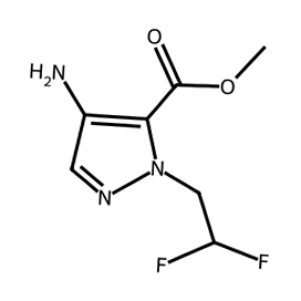 COC(=O)c1c(N)cnn1CC(F)F